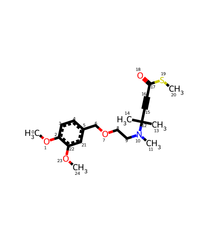 COc1ccc(COCCN(C)C(C)(C)C#CC(=O)SC)cc1OC